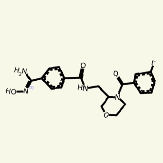 N/C(=N\O)c1ccc(C(=O)NCC2COCCN2C(=O)c2cccc(F)c2)cc1